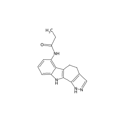 CCC(=O)Nc1cccc2[nH]c3c(c12)CCc1cn[nH]c1-3